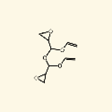 C=COC(OC(OC=C)C1CO1)C1CO1